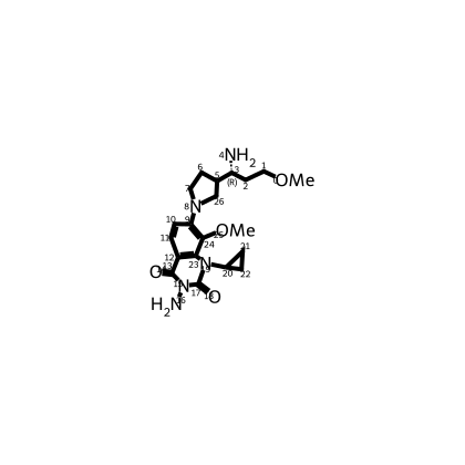 COCC[C@@H](N)C1CCN(c2ccc3c(=O)n(N)c(=O)n(C4CC4)c3c2OC)C1